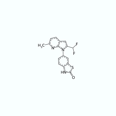 Cc1ccc2cc(C(F)F)n(-c3ccc4[nH]c(=O)sc4c3)c2n1